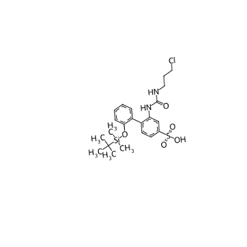 CC(C)(C)[Si](C)(C)Oc1ccccc1-c1ccc(S(=O)(=O)O)cc1NC(=O)NCCCCl